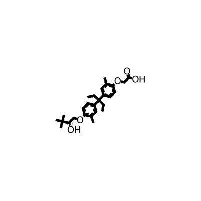 CCC(CC)(c1ccc(OCC(=O)O)c(C)c1)c1ccc(OC[C@H](O)C(C)(C)C)c(C)c1